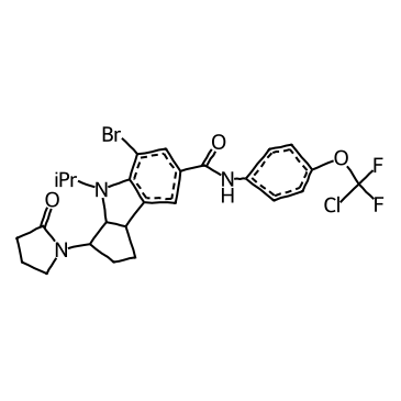 CC(C)N1c2c(Br)cc(C(=O)Nc3ccc(OC(F)(F)Cl)cc3)cc2C2CCC(N3CCCC3=O)C21